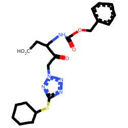 O=C(O)CC(NC(=O)OCc1ccccc1)C(=O)Cn1nnc(SC2CCCCC2)n1